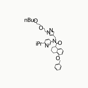 CCCCOCCOCCn1cc(CN(C(=O)C2CCCc3c(OCc4ccccc4)cccc32)c2ccc(C(C)C)nc2)cn1